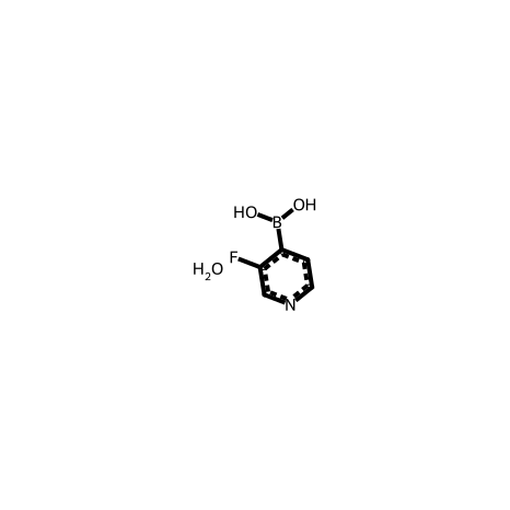 O.OB(O)c1ccncc1F